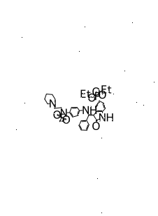 CCOP(=O)(OCC)c1ccc2c(c1)C(=C(Nc1ccc(N(CCN3CCCCC3)S(C)(=O)=O)cc1)c1ccccc1)C(=O)N2